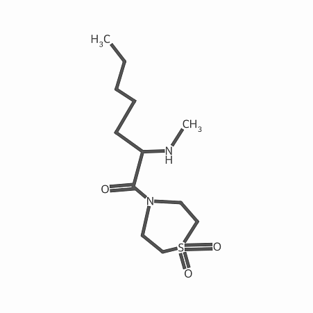 CCCCCC(NC)C(=O)N1CCS(=O)(=O)CC1